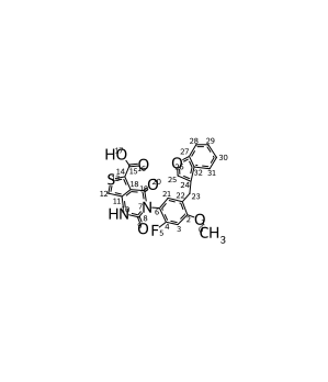 COc1cc(F)c(-n2c(=O)[nH]c3csc(C(=O)O)c3c2=O)cc1Cc1coc2ccccc12